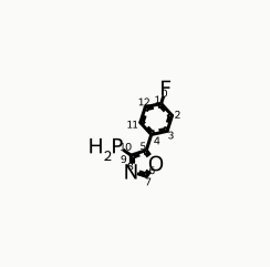 Fc1ccc(-c2ocnc2P)cc1